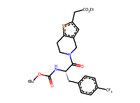 CCOC(=O)Cc1cc2c(s1)CCN(C(=O)[C@H](Cc1ccc(C(F)(F)F)cc1)NC(=O)OC(C)(C)C)C2